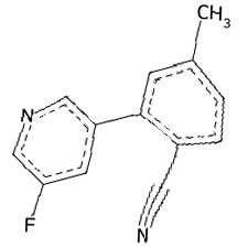 Cc1ccc(C#N)c(-c2cncc(F)c2)c1